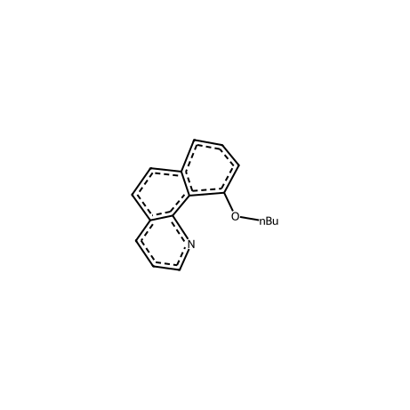 CCCCOc1cccc2ccc3cccnc3c12